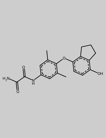 Cc1cc(NC(=O)C(N)=O)cc(C)c1Oc1ccc(O)c2c1CCC2